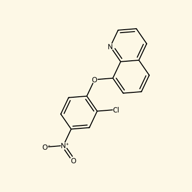 O=[N+]([O-])c1ccc(Oc2cccc3cccnc23)c(Cl)c1